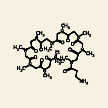 CCN(C)C(=O)CN(C)C(=O)CN(C)C(=O)CN(C)C(=O)CN(C)C(=O)CN(C)C(=O)CN(C)C(=O)CN(C)C(=O)CN(C)C(=O)CN(C)C(=O)CCN